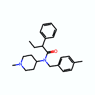 CCC(C(=O)N(Cc1ccc(C)cc1)C1CCN(C)CC1)c1ccccc1